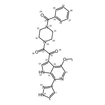 COc1cnc(-c2cc[nH]n2)c2[nH]cc(C(=O)C(=O)N3CCN(C(=O)c4ccccc4)CC3)c12